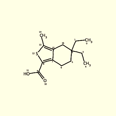 CCC1(CC)CCc2c(C(=O)O)sc(C)c2C1